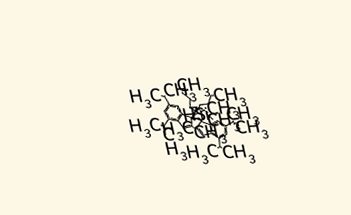 CCC[CH2][Zr]([CH2]CCC)([CH]1C(C)=Cc2c(C(C)C)cc(C(C)C)cc21)([CH]1C(C)=Cc2c(C(C)C)cc(C(C)C)cc21)[SiH](C)C